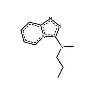 CCCN(C)c1nnc2ccccn12